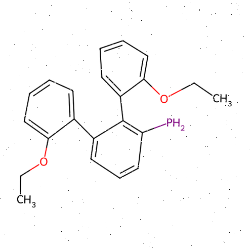 CCOc1ccccc1-c1cccc(P)c1-c1ccccc1OCC